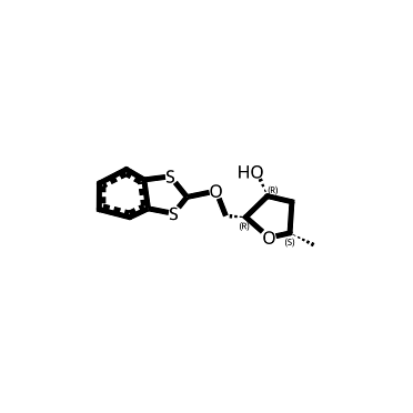 C[C@H]1C[C@@H](O)[C@@H](COC2Sc3ccccc3S2)O1